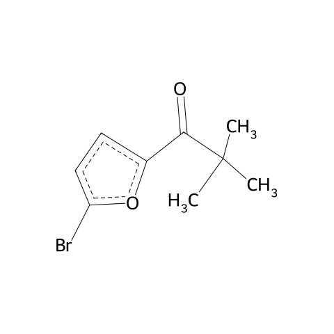 CC(C)(C)C(=O)c1ccc(Br)o1